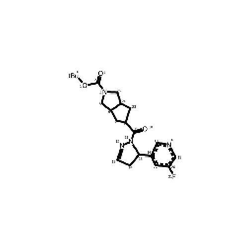 CC(C)(C)OC(=O)N1CC2CC(C(=O)N3N=CCC3c3cncc(F)c3)CC2C1